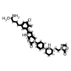 C[C@H](N)CCCc1cc(Cl)c(F)c(-c2cc3cn(-c4ccc([C@@H]5CCC[C@@H](CCn6ncoc6=O)N5)cc4)c(=O)nc3[nH]2)c1